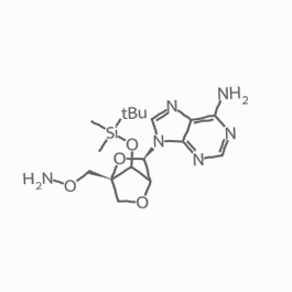 CC(C)(C)[Si](C)(C)OC1C2OC[C@]1(CON)O[C@H]2n1cnc2c(N)ncnc21